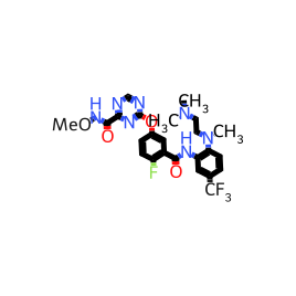 CONC(=O)c1ncnc(Oc2ccc(F)c(C(=O)Nc3cc(C(F)(F)F)ccc3N(C)CCN(C)C)c2)n1